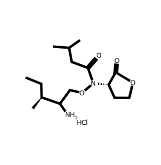 CC[C@H](C)C(N)CON(C(=O)CC(C)C)[C@H]1CCOC1=O.Cl